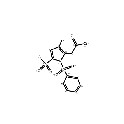 Cc1cc(S(=O)(=O)Cl)n(S(=O)(=O)c2ccccc2)c1CC(=O)O